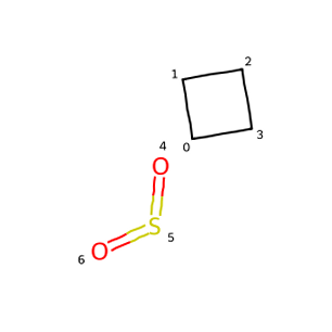 C1CCC1.O=S=O